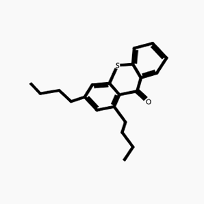 CCCCc1cc(CCCC)c2c(=O)c3ccccc3sc2c1